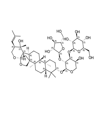 CC(C)=C[C@@H]1CO[C@]23C[C@]4(CO2)[C@H](CC[C@@H]2[C@@]5(C)CC[C@H](O[C@@H]6OC[C@H](O)[C@H](O[C@@H]7O[C@H](CO)[C@@H](O)[C@H](O)[C@H]7O)[C@H]6O[C@@H]6O[C@@H](CO)[C@H](O)[C@H]6O)C(C)(C)[C@@H]5CC[C@]24C)[C@H]3[C@@]1(C)O